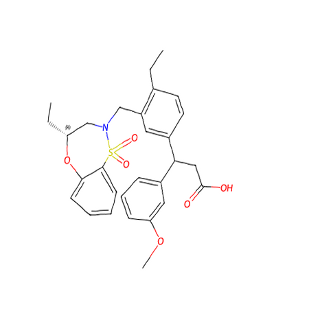 CCc1ccc(C(CC(=O)O)c2cccc(OC)c2)cc1CN1C[C@@H](CC)Oc2ccccc2S1(=O)=O